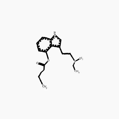 CCCC(=O)Oc1cccc2[nH]cc(CCN(C)CC)c12